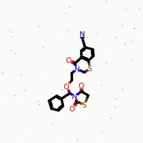 N#Cc1ccc2c(c1)C(=O)N(CCOC(c1ccccc1)N1C(=O)CSC1=O)CS2